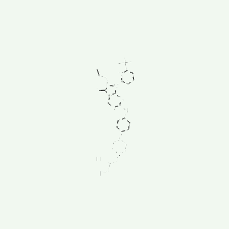 C=CCn1c(=O)c2cnc(Nc3ccc(N4CCN(CC(O)CF)CC4)cc3)nc2n1-c1cccc(C(C)(C)O)n1